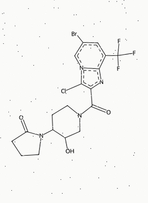 O=C(c1nc2c(C(F)(F)F)cc(Br)cn2c1Cl)N1CCC(N2CCCC2=O)C(O)C1